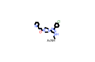 CC(=O)NCCNc1cc(N2CCN(C(=O)/C=C/c3ccccn3)CC2)nc(-c2ccc(Cl)cc2)n1